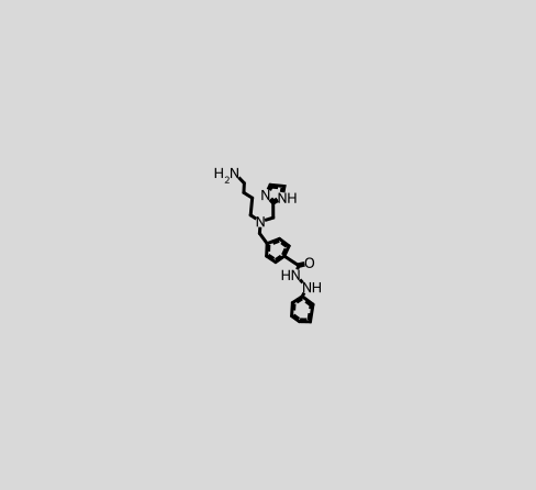 NCCCCN(Cc1ccc(C(=O)NNc2ccccc2)cc1)Cc1ncc[nH]1